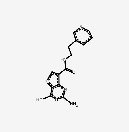 Nc1nc(O)c2scc(C(=O)NCCc3cccnc3)c2n1